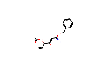 C=CC(OC(C)=O)/C(O)=C/C(=N)OCc1ccccc1